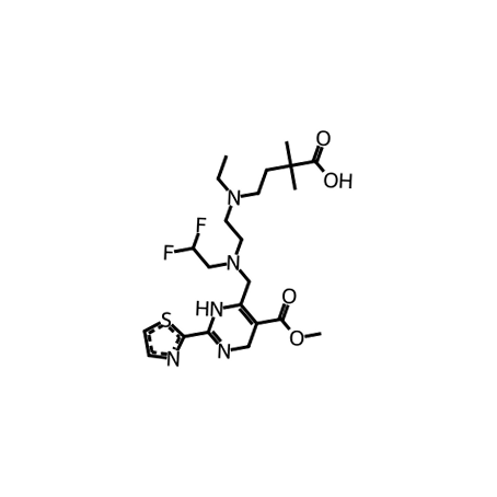 CCN(CCN(CC1=C(C(=O)OC)CN=C(c2nccs2)N1)CC(F)F)CCC(C)(C)C(=O)O